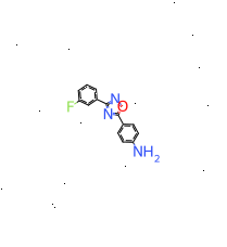 Nc1ccc(-c2nc(-c3cccc(F)c3)no2)cc1